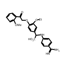 CCOc1cc(C(Nc2ccc(C(=N)N)cc2)C(=O)O)ccc1OCC(=O)c1ccccc1OC